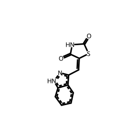 O=C1NC(=O)/C(=C\c2n[nH]c3ccccc23)S1